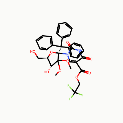 COC1(OC)[C@H](O)[C@@H](CO)O[C@]1(n1cc(C(=O)OCC(F)(F)F)c(=O)[nH]c1=O)C(c1ccccc1)(c1ccccc1)c1ccccc1